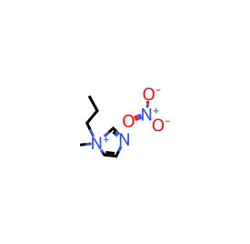 CCC[N+]1(C)C=CN=C1.O=[N+]([O-])[O-]